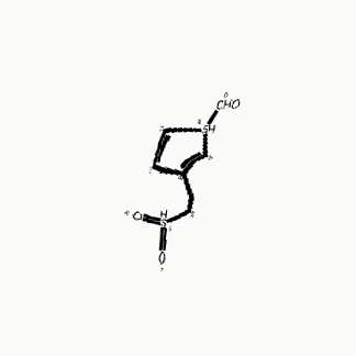 O=C[SH]1C=CC(C[SH](=O)=O)=C1